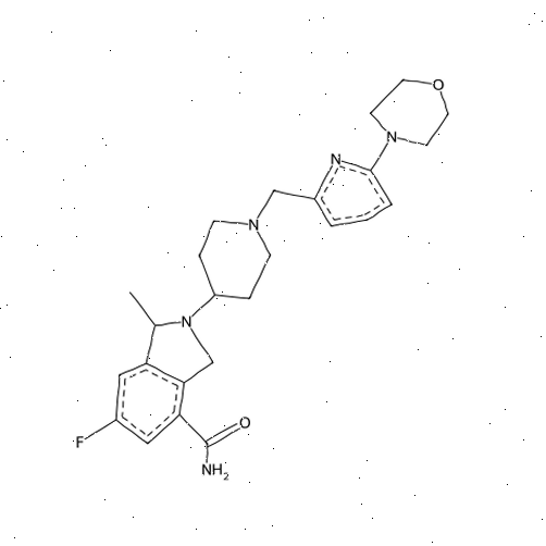 CC1c2cc(F)cc(C(N)=O)c2CN1C1CCN(Cc2cccc(N3CCOCC3)n2)CC1